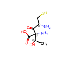 C[C@@H](O)[C@@](N)(C(=O)O)C(=O)[C@@H](N)CS